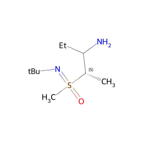 CCC(N)[C@H](C)S(C)(=O)=NC(C)(C)C